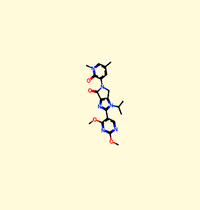 COc1ncc(-c2nc3c(n2C(C)C)CN(c2cc(C)cn(C)c2=O)C3=O)c(OC)n1